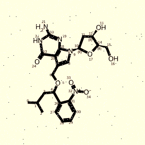 CC(C)CC(OCc1cn([C@H]2C[C@@H](O)[C@@H](CO)O2)c2nc(N)[nH]c(=O)c12)c1ccccc1[N+](=O)[O-]